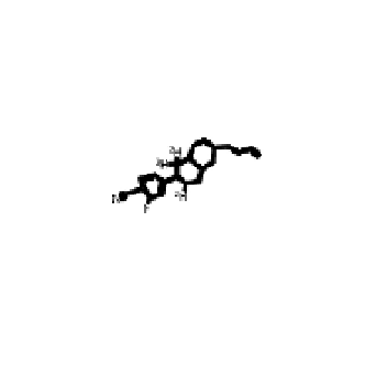 [2H]C1CC2CC(CCC=C)CCC2C([2H])([2H])C1c1ccc(C#N)c(F)c1